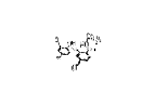 O=C(O)O.Oc1ccc(Cl)cc1Cl.Oc1ccc(Cl)cc1Cl